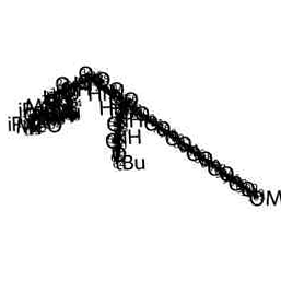 CC[C@H](C)[C@@H]([C@@H](CC(=O)N1CCC[C@H]1[C@H](OC)[C@@H](C)C(=O)N[C@@H](Cc1ccccc1)C(=O)NCCCOC(=O)C(C)NC(=O)CCNC(=O)OCC(NC(=O)CNC(=O)CCNC(=O)CCOCC(C)(C)C)C(=O)NCCOCCOCCOCCOCCOCCOCCOCCOCCOCCOCCOCCOC)OC)N(C)C(=O)[C@@H](NC(=O)[C@H](C(C)C)N(C)C)C(C)C